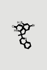 Bc1cc(Br)cc(CC(C)(c2ccc3ccccc3n2)c2cccc(=O)[nH]2)c1